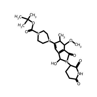 COC1C2=C(C=C(N3CCN(C(=O)OC(C)(C)C)CC3)C1C)C(O)N(C1CCC(=O)NC1=O)C2=O